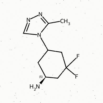 Cc1nncn1C1C[C@H](N)CC(F)(F)C1